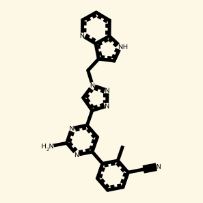 Cc1c(C#N)cccc1-c1cc(-c2cn(Cc3c[nH]c4cccnc34)nn2)nc(N)n1